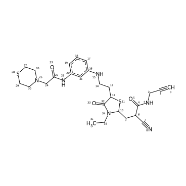 C#CCNC(=O)C(C#N)CC1SC(CCNc2cccc(NC(=O)CN3CCSCC3)c2)C(=O)N1CC